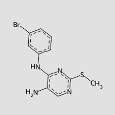 CSc1ncc(N)c(Nc2cccc(Br)c2)n1